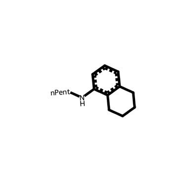 CCCCCNc1cccc2c1CCCC2